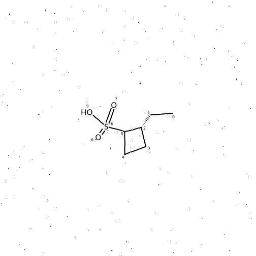 CC[C@@H]1CCC1S(=O)(=O)O